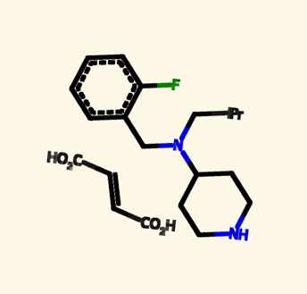 CC(C)CN(Cc1ccccc1F)C1CCNCC1.O=C(O)/C=C/C(=O)O